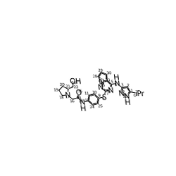 CC(C)c1cc(Nc2nc(Sc3ccc(NC(=O)CN4CCC[C@H]4CO)cc3)nn3cccc23)n[nH]1